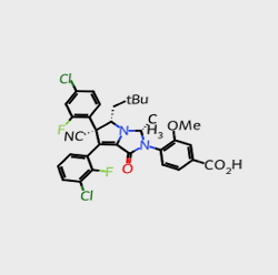 COc1cc(C(=O)O)ccc1N1C(=O)C2=C(c3cccc(Cl)c3F)[C@@](C#N)(c3ccc(Cl)cc3F)[C@H](CC(C)(C)C)N2[C@@H]1C